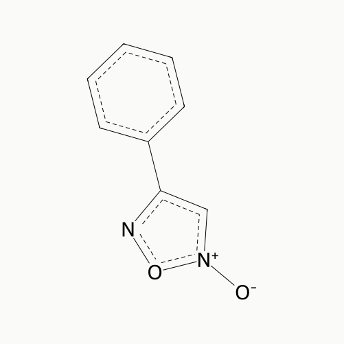 [O-][n+]1cc(-c2ccccc2)no1